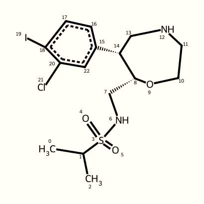 CC(C)S(=O)(=O)NC[C@H]1OCCNC[C@H]1c1ccc(I)c(Cl)c1